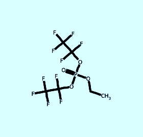 CCOP(=O)(OC(F)(F)C(F)(F)F)OC(F)(F)C(F)(F)F